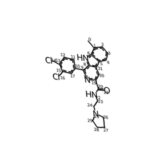 Cc1cccc2c1[nH]c1c(-c3ccc(Cl)c(Cl)c3)nc(C(=O)NCCN3CCCC3)cc12